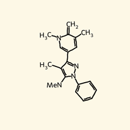 C=C1C(C)=CC(c2nn(-c3ccccc3)c(NC)c2C)=CN1C